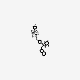 Cc1ccc(S(=O)(=O)NC(=O)NCCc2ccc(-n3c(Cc4ccc5ccccc5c4)nc4c(C)cc(C)nc43)cc2)cc1